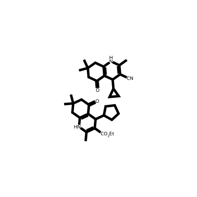 CC1=C(C#N)C(C2CC2)C2=C(CC(C)(C)CC2=O)N1.CCOC(=O)C1=C(C)NC2=C(C(=O)CC(C)(C)C2)C1C1CCCC1